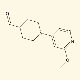 COc1cc(N2CCC(C=O)CC2)cnn1